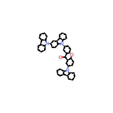 O=c1c2cc(-n3c4ccccc4c4ccccc43)ccc2oc2ccc(-n3c4ccccc4c4cc(-n5c6ccccc6c6ccccc65)ccc43)cc12